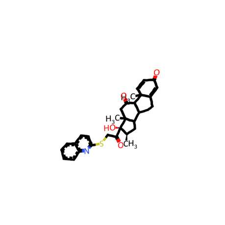 C[C@@H]1CC2C3CCC4=CC(=O)C=CC4(C)C3C(=O)CC2(C)[C@@]1(O)C(=O)CSc1ccc2ccccc2n1